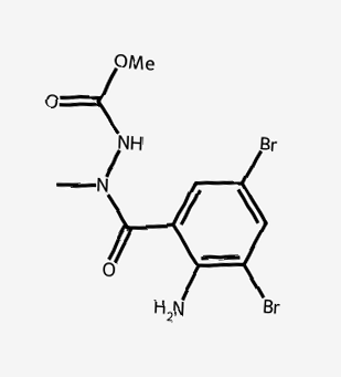 COC(=O)NN(C)C(=O)c1cc(Br)cc(Br)c1N